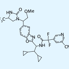 COCC(c1ccc2oc(C(NC(=O)C(F)(F)c3cncc(C#N)c3)C(C3CC3)C3CC3)nc2c1)N1CC(C(F)(F)F)NC1=O